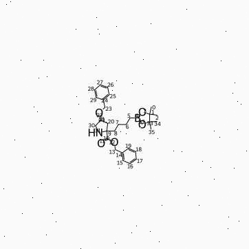 CC1(C)OB(CCCCC2(C(=O)OCc3ccccc3)C[C@@H](OCc3ccccc3)CN2)OC1(C)C